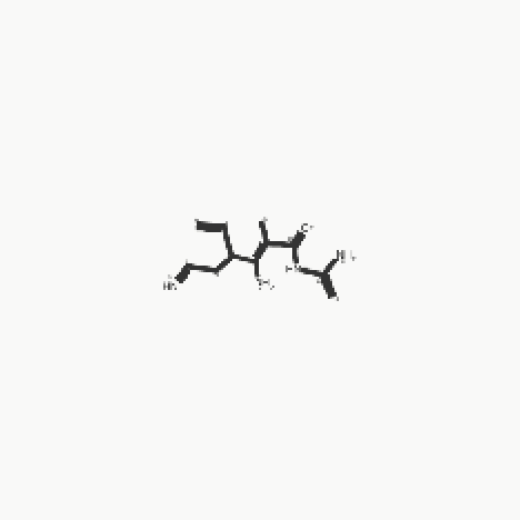 C=CC(CC=N)/C(N)=C(\C)C(=O)NC(=C)N